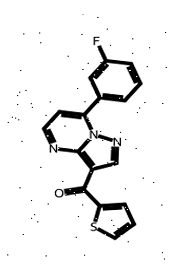 O=C(c1cccs1)c1cnn2c(-c3cccc(F)c3)ccnc12